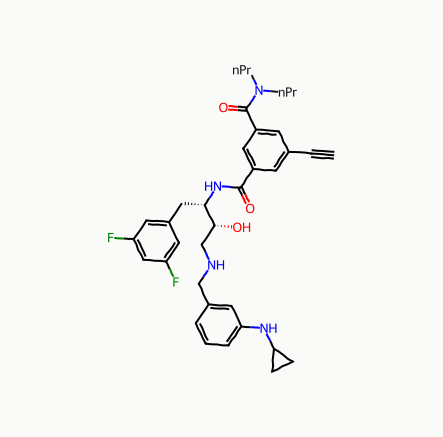 C#Cc1cc(C(=O)N[C@@H](Cc2cc(F)cc(F)c2)[C@H](O)CNCc2cccc(NC3CC3)c2)cc(C(=O)N(CCC)CCC)c1